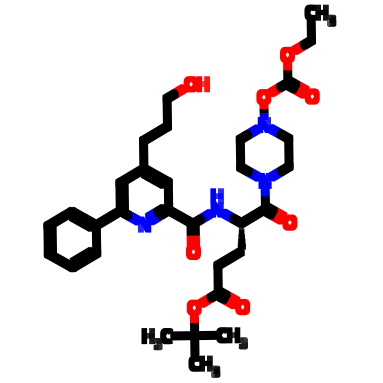 CCOC(=O)ON1CCN(C(=O)[C@H](CCC(=O)OC(C)(C)C)NC(=O)c2cc(CCCO)cc(-c3ccccc3)n2)CC1